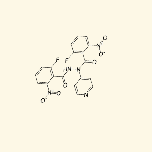 O=C(NN(C(=O)c1c(F)cccc1[N+](=O)[O-])c1ccncc1)c1c(F)cccc1[N+](=O)[O-]